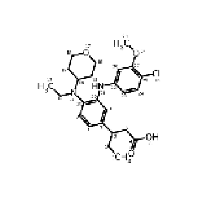 CCC(CC(=O)O)c1ccc(N(CC)C2CCOCC2)c(Nc2ccc(Cl)c(OC)c2)c1